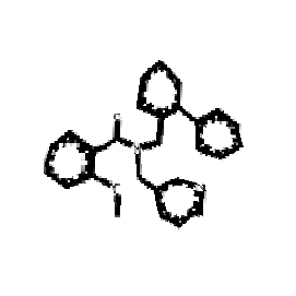 COc1ccccc1C(=O)N(Cc1cccnc1)Cc1ccccc1-c1ccccc1